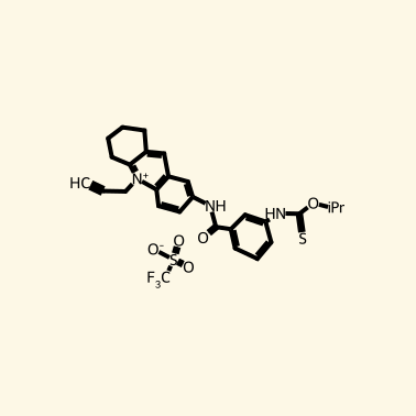 C#CC[n+]1c2c(cc3cc(NC(=O)c4cccc(NC(=S)OC(C)C)c4)ccc31)CCCC2.O=S(=O)([O-])C(F)(F)F